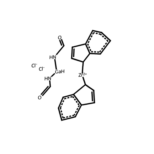 C1=C[CH]([Zr+2][CH]2C=Cc3ccccc32)c2ccccc21.O=C[NH][GaH][NH]C=O.[Cl-].[Cl-]